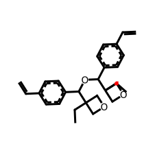 C=Cc1ccc(C(OC(c2ccc(C=C)cc2)C2(CC)COC2)C2(CC)COC2)cc1